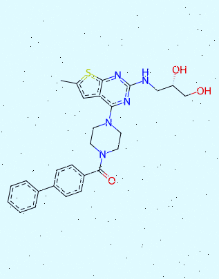 Cc1cc2c(N3CCN(C(=O)c4ccc(-c5ccccc5)cc4)CC3)nc(NC[C@H](O)CO)nc2s1